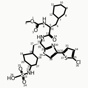 COC(=O)N[C@@H](CC1CCCCC1)C(=O)N[C@@H](CC1CCC(NS(=O)(=O)O)CC1)c1nc(-c2ccc(Cl)s2)cs1